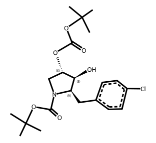 CC(C)(C)OC(=O)O[C@H]1CN(C(=O)OC(C)(C)C)[C@H](Cc2ccc(Cl)cc2)[C@@H]1O